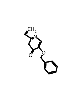 C=CC1=NC=C(OCc2ccccc2)C(=O)C1